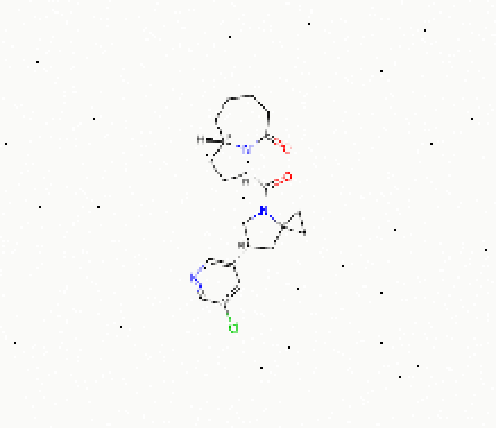 O=C1CCCC[C@H]2CC[C@@H](C(=O)N3C[C@@H](c4cncc(Cl)c4)CC34CC4)N12